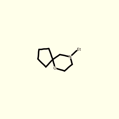 CCN1CCOC2(CCCC2)C1